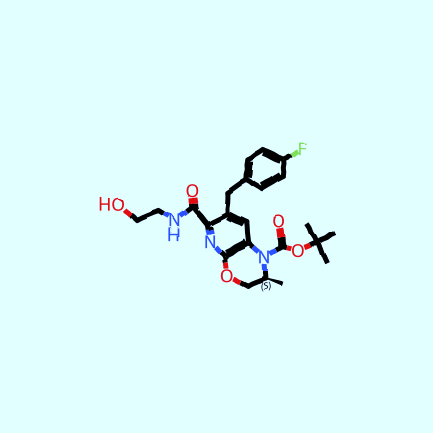 C[C@H]1COc2nc(C(=O)NCCO)c(Cc3ccc(F)cc3)cc2N1C(=O)OC(C)(C)C